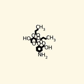 CCCC(=O)O[C@@H]1[C@@H](OC(=O)CCC)[C@H](Oc2ccc(N)cc2C(=O)O)OC[C@H]1O